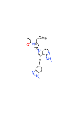 C=CC(=O)N1C[C@@H](n2cc(C#Cc3ccc4c(c3)ncn4C)c3c(N)nccc32)C[C@@H]1COC